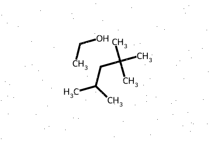 CC(C)CC(C)(C)C.CCO